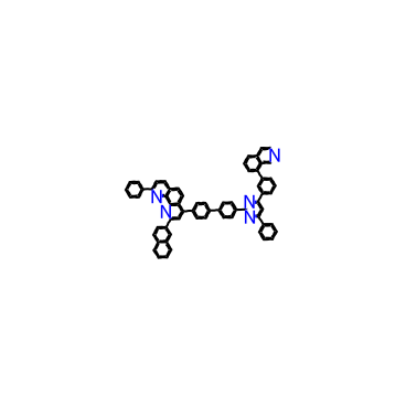 c1ccc(-c2cc(-c3cccc(-c4cccc5ccncc45)c3)nc(-c3ccc(-c4ccc(-c5cc(-c6ccc7ccccc7c6)nc6c5ccc5ccc(-c7ccccc7)nc56)cc4)cc3)n2)cc1